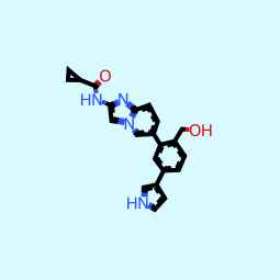 O=C(Nc1cn2cc(-c3cc(-c4cc[nH]c4)ccc3CO)ccc2n1)C1CC1